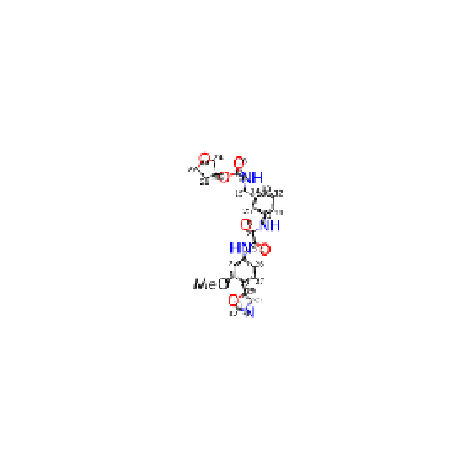 COc1cc(NC(=O)C(=O)Nc2cccc(CNC(=O)OC3CCOC3)c2)ccc1-c1cnco1